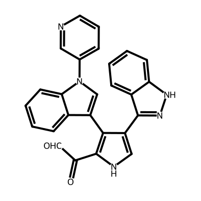 O=CC(=O)c1[nH]cc(-c2n[nH]c3ccccc23)c1-c1cn(-c2cccnc2)c2ccccc12